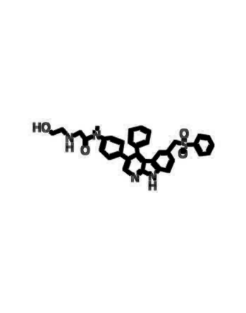 CN(C(=O)CNCCO)c1ccc(-c2cnc3[nH]c4ccc(CS(=O)(=O)c5ccccc5)cc4c3c2-c2ccccc2)cc1